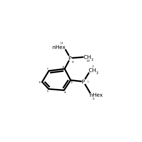 CCCCCCP(C)c1ccccc1P(C)CCCCCC